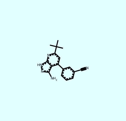 CC(C)(C)c1cc(-c2cccc(C#N)c2)c2c(N)n[nH]c2n1